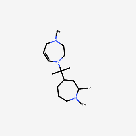 CC(C)C1CC(C(C)(C)N2C=CCN(C(C)C)CC2)CCCN1C(C)C